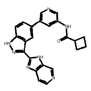 O=C(Nc1cncc(-c2ccc3[nH]nc(-c4nc5ccncc5[nH]4)c3c2)c1)C1CCC1